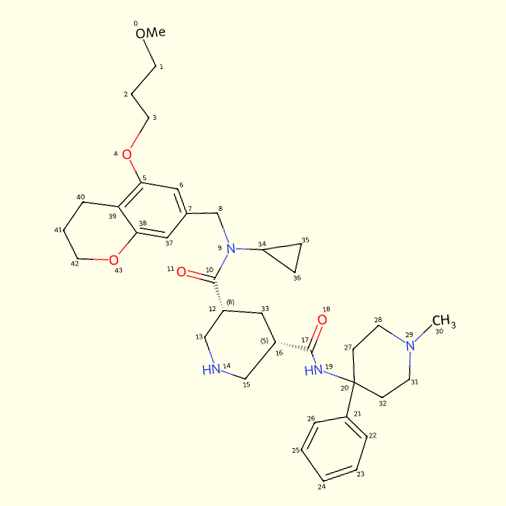 COCCCOc1cc(CN(C(=O)[C@H]2CNC[C@@H](C(=O)NC3(c4ccccc4)CCN(C)CC3)C2)C2CC2)cc2c1CCCO2